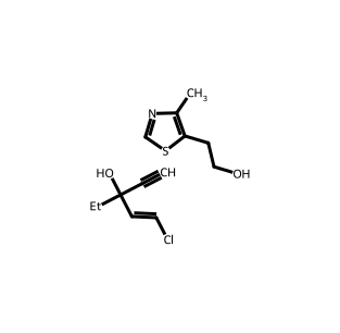 C#CC(O)(C=CCl)CC.Cc1ncsc1CCO